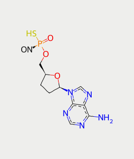 Nc1ncnc2c1ncn2[C@H]1CC[C@@H](CO[P@@](=O)(S)N=O)O1